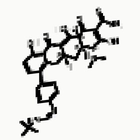 CN(C)[C@H]1C(O)=C(C(N)=O)C(=O)[C@@]2(O)C(O)=C3C(=O)c4c(O)ccc(-c5ccc(/N=C\NC(C)(C)C)cc5)c4C[C@H]3C[C@H]12